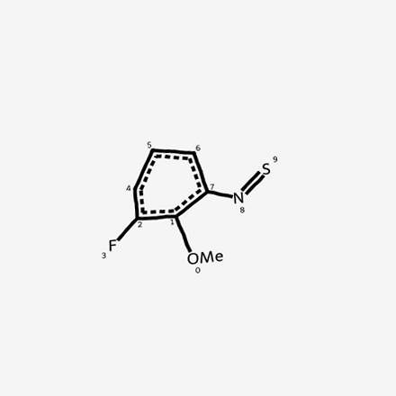 COc1c(F)cccc1N=S